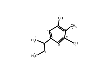 CCC(C)c1cc(O)c(C)c(O)c1